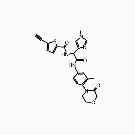 C#Cc1ccc(C(=O)NC(C(=O)Nc2ccc(N3CCOCC3=O)c(C)c2)c2cn(C)cn2)s1